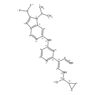 CC(C)n1c(C(F)F)nc2cnc(Nc3ccnc(/C(C=N)=C/N[S+]([O-])C4CC4)n3)cc21